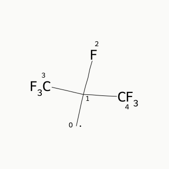 [CH2]C(F)(C(F)(F)F)C(F)(F)F